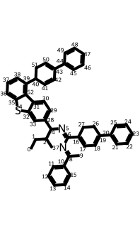 CCC(C)C(/N=C(\N=C(/C)c1ccccc1)C1=CC=C(c2ccccc2)CC1)c1ccc2c(c1)sc1cccc(C3C=CC(c4ccccc4)=CC3)c12